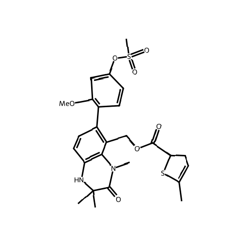 COc1cc(OS(C)(=O)=O)ccc1-c1ccc2c(c1COC(=O)C1CC=C(C)S1)N(C)C(=O)C(C)(C)N2